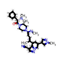 C=N/C(=C\C=C(/C)c1cc(-c2cnn(C)c2)cn2ncc(C#N)c12)N1CCN(C(=O)[C@H](c2ccccc2)N(C)C)CC1